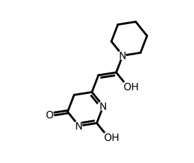 O=C1CC(/C=C(\O)N2CCCCC2)=NC(O)=N1